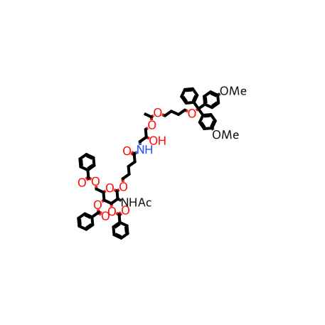 COc1ccc(C(OCCCCOC(C)OCC(O)CNC(=O)CCCCOC2OC(COC(=O)c3ccccc3)C(OC(=O)c3ccccc3)C(OC(=O)c3ccccc3)C2NC(C)=O)(c2ccccc2)c2ccc(OC)cc2)cc1